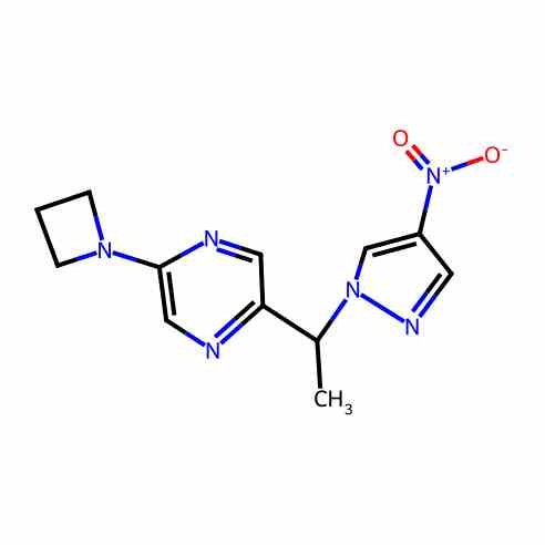 CC(c1cnc(N2CCC2)cn1)n1cc([N+](=O)[O-])cn1